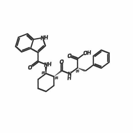 O=C(N[C@@H]1CCCC[C@H]1C(=O)N[C@@H](Cc1ccccc1)C(=O)O)c1c[nH]c2ccccc12